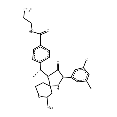 C[C@H](c1ccc(C(=O)NCCC(=O)O)cc1)N1C(=O)C(c2cc(Cl)cc(Cl)c2)NC12CCOC(C(C)(C)C)C2